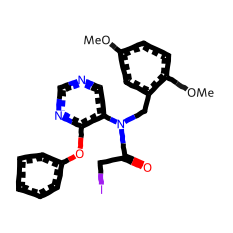 COc1ccc(OC)c(CN(C(=O)CI)c2cncnc2Oc2ccccc2)c1